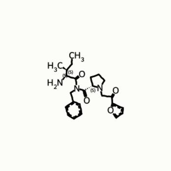 CC[C@H](C)[C@H](N)C(=O)N(Cc1ccccc1)C(=O)[C@@H]1CCCN1CC(=O)c1ccco1